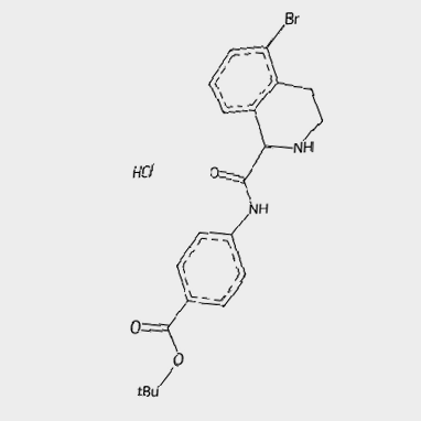 CC(C)(C)OC(=O)c1ccc(NC(=O)C2NCCc3c(Br)cccc32)cc1.Cl